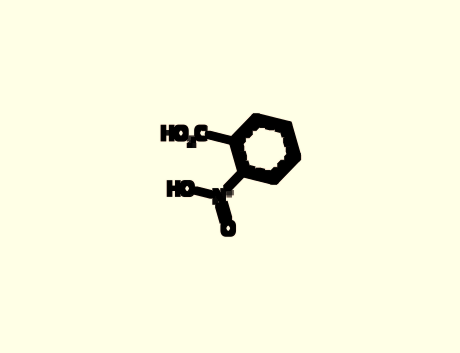 O=C(O)c1ccccc1[N+](=O)O